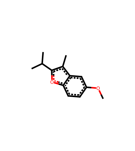 COc1ccc2oc(C(C)C)c(C)c2c1